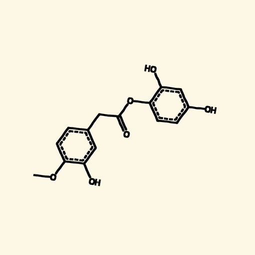 COc1ccc(CC(=O)Oc2ccc(O)cc2O)cc1O